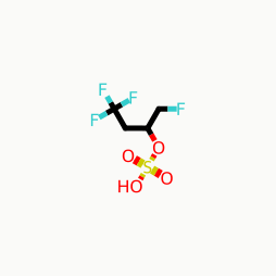 O=S(=O)(O)OC(CF)CC(F)(F)F